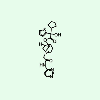 O=C(C[N+]12CCC(CC1)[C@@H](OC(=O)C(O)(c1cccs1)C1CCCC1)C2)Nc1ccncn1